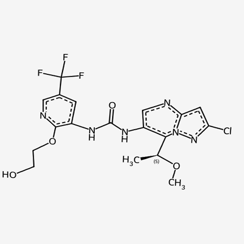 CO[C@@H](C)c1c(NC(=O)Nc2cc(C(F)(F)F)cnc2OCCO)cnc2cc(Cl)nn12